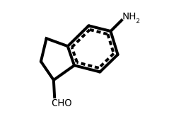 Nc1ccc2c(c1)CCC2C=O